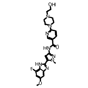 COc1cc(F)c2[nH]c(-c3cc(NC(=O)c4ccc(N5CCN(CCO)CC5)nc4)nn3C)nc2c1